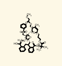 COCC(=O)OC[C@@H]1C(C)=C[C@H](CCCOC(=O)C(C)(C)C)O[C@@H]1C[C@@H]1O[C@H](CC(Cc2ccccc2C(=O)O)c2ccccc2C(=O)O)[C@H](OC)[C@H]1CS(=O)(=O)c1ccccc1